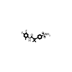 Cc1cc(F)c(F)cc1NC(=O)C1C(c2ccc(S(N)(=O)=O)cc2)C1(C)C